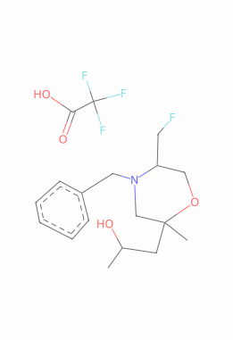 CC(O)CC1(C)CN(Cc2ccccc2)C(CF)CO1.O=C(O)C(F)(F)F